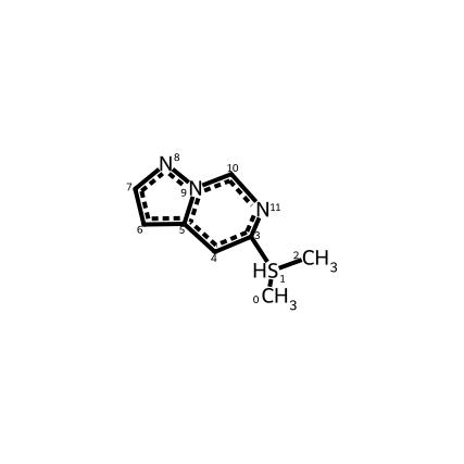 C[SH](C)c1cc2ccnn2cn1